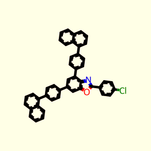 Clc1ccc(-c2nc3c(-c4ccc(-c5cccc6ccccc56)cc4)cc(-c4ccc(-c5cccc6ccccc56)cc4)cc3o2)cc1